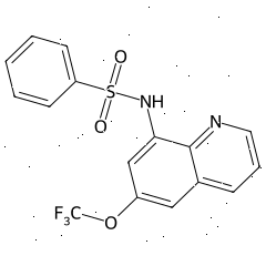 O=S(=O)(Nc1cc(OC(F)(F)F)cc2cccnc12)c1ccccc1